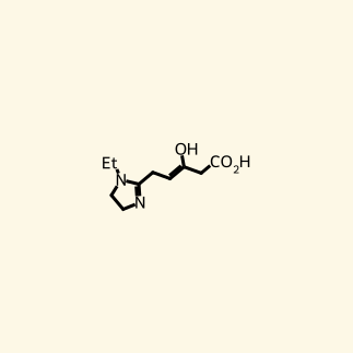 CCN1CCN=C1CC=C(O)CC(=O)O